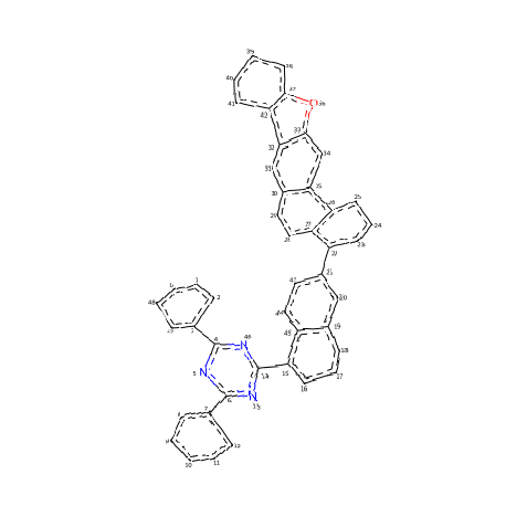 c1ccc(-c2nc(-c3ccccc3)nc(-c3cccc4cc(-c5cccc6c5ccc5cc7c(cc56)oc5ccccc57)ccc34)n2)cc1